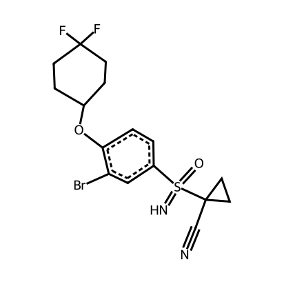 N#CC1(S(=N)(=O)c2ccc(OC3CCC(F)(F)CC3)c(Br)c2)CC1